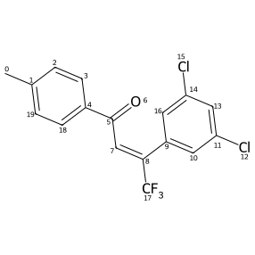 Cc1ccc(C(=O)C=C(c2cc(Cl)cc(Cl)c2)C(F)(F)F)cc1